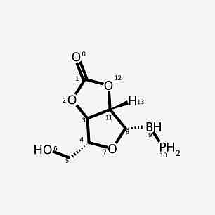 O=C1OC2[C@@H](CO)O[C@@H](BP)[C@H]2O1